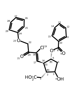 O=C(O)C[C@H]1C(O)C[C@@H](OC(=O)c2ccccc2)[C@@H]1C=C(Cl)C(=O)COc1ccccc1